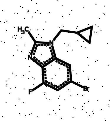 Cc1nc2c(F)cc(Br)cc2n1CC1CC1